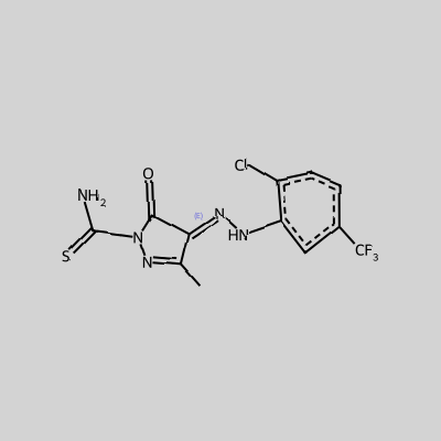 CC1=NN(C(N)=S)C(=O)/C1=N/Nc1cc(C(F)(F)F)ccc1Cl